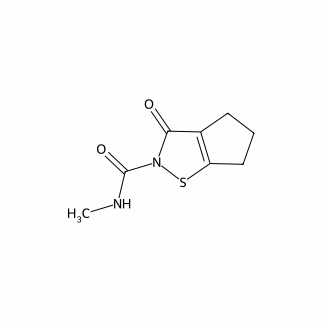 CNC(=O)n1sc2c(c1=O)CCC2